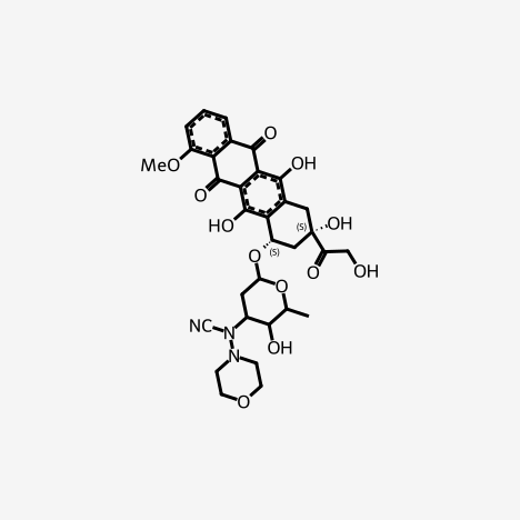 COc1cccc2c1C(=O)c1c(O)c3c(c(O)c1C2=O)C[C@@](O)(C(=O)CO)C[C@@H]3OC1CC(N(C#N)N2CCOCC2)C(O)C(C)O1